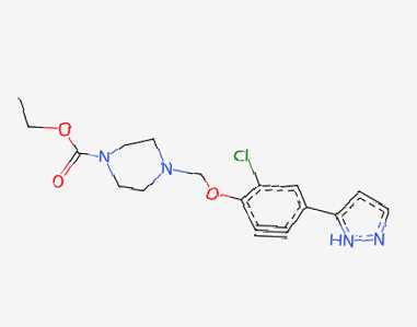 CCOC(=O)N1CCN(COc2c#cc(-c3ccn[nH]3)cc2Cl)CC1